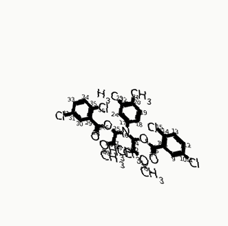 COC(C)C(OC(=O)c1cc(Cl)ccc1Cl)N(c1ccc(C)c(C)c1)C(OC(=O)c1cc(Cl)ccc1Cl)C(C)OC